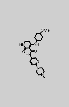 COC1CCC(Nc2cc[nH]c(=O)c2C(=O)Nc2ccc(N3CCN(C)CC3)nc2)CC1